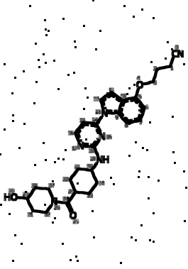 N#CCCCOc1cccc2c1ccn2-c1ccnc(NC2CCC(C(=O)N3CCC(O)CC3)CC2)n1